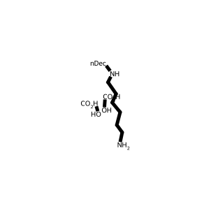 CCCCCCCCCCNCCCCCCN.O=C(O)O.O=C(O)O